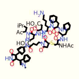 CC(=O)NC(CSC1CC(=O)N(CCCC(=O)Nc2ccc(C3=C(c4cn(C)c5ccccc45)C(=O)NC3=O)cc2)C1=O)C(=O)NC(Cc1ccccc1)C(=O)NC(Cc1ccccc1)C(=O)NC(CCCCN)C(=O)NC(CC(=O)O)C(=O)NC(CCC(=O)O)C(=O)NC(CC(C)C)C(C)=O